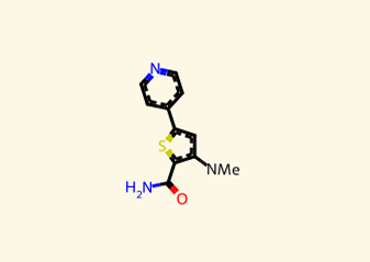 CNc1cc(-c2ccncc2)sc1C(N)=O